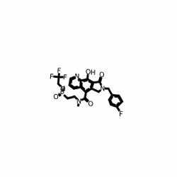 CN(CC[PH](=O)OCC(F)(F)F)C(=O)c1c2c(c(O)c3ncccc13)C(=O)N(Cc1ccc(F)cc1)C2